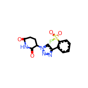 O=C1CCC(n2cc(-c3ccccc3S(=O)(=O)F)nn2)C(=O)N1